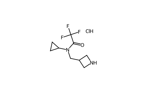 Cl.O=C(N(CC1CNC1)C1CC1)C(F)(F)F